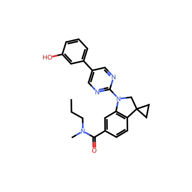 CCCN(C)C(=O)c1ccc2c(c1)N(c1ncc(-c3cccc(O)c3)cn1)CC21CC1